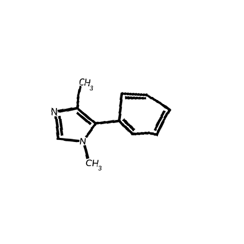 Cc1ncn(C)c1-c1ccccc1